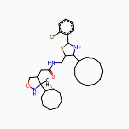 CC1(C2CCCCCCC2)NOCC1CC(=O)NCC1SC(c2ccccc2Cl)NC1C1CCCCCCCCCC1